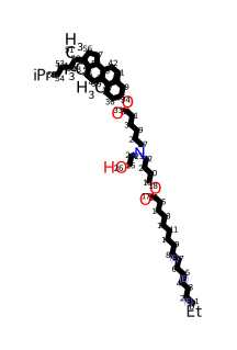 CC/C=C/C/C=C/C/C=C/CCCCCCCC(=O)OCCCCN(CCO)CCCCCC(=O)OC1CCC2(C)C(=CCC3C2CCC2(C)C(C(C)CCCC(C)C)CCC32)C1